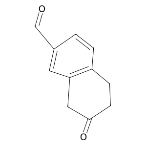 O=Cc1ccc2c(c1)CC(=O)CC2